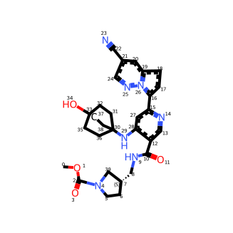 COC(=O)N1CC[C@@H](CNC(=O)c2cnc(-c3ccc4cc(C#N)cnn34)cc2NC23CCC(O)(CC2)CC3)C1